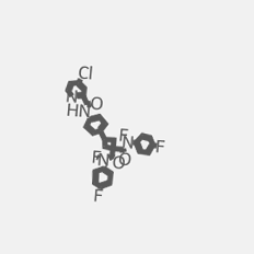 O=C(Nc1ccc(C2CC(C(=O)N(F)c3ccc(F)cc3)(C(=O)N(F)c3ccc(F)cc3)C2)cc1)c1cc(Cl)ccn1